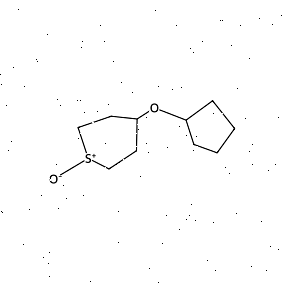 [O-][S+]1CCC(OC2CCCC2)CC1